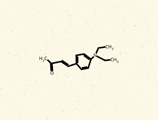 CCN(CC)c1ccc(C=CC(C)=O)cc1